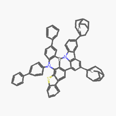 c1ccc(-c2ccc(N3c4ccc(-c5ccccc5)cc4B4c5c(cc6c(sc7ccccc76)c53)-c3cc(C56CCC7CC(CC7C5)C6)cc5c6cc(C78CCC9CC(CC9C7)C8)ccc6n4c35)cc2)cc1